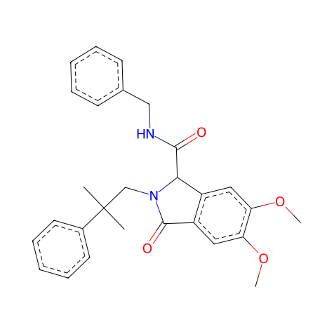 COc1cc2c(cc1OC)C(C(=O)NCc1ccccc1)N(CC(C)(C)c1ccccc1)C2=O